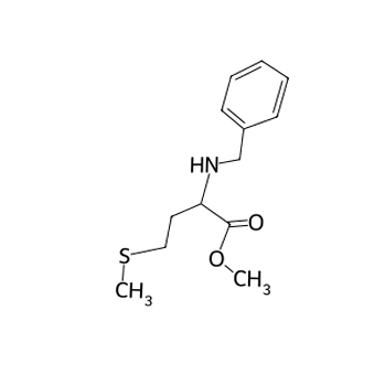 COC(=O)C(CCSC)NCc1ccccc1